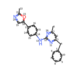 Cc1cc(Cc2ccccc2)nc(Nc2ccc(-c3cnc(C)o3)cc2)n1